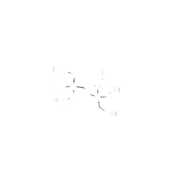 CO[Si](C)(CO[Si](CO)(OC)OC)OC